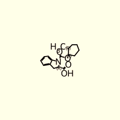 C[C@@H]1CCCC[C@H]1OC(=O)N1c2ccccc2C[C@@H]1C(=O)O